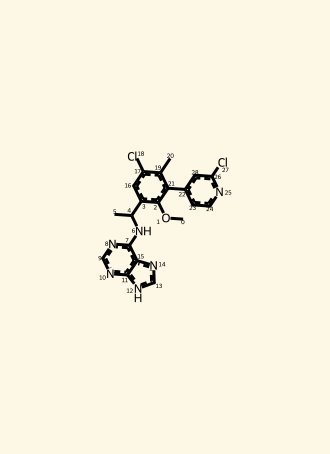 COc1c(C(C)Nc2ncnc3[nH]cnc23)cc(Cl)c(C)c1-c1ccnc(Cl)c1